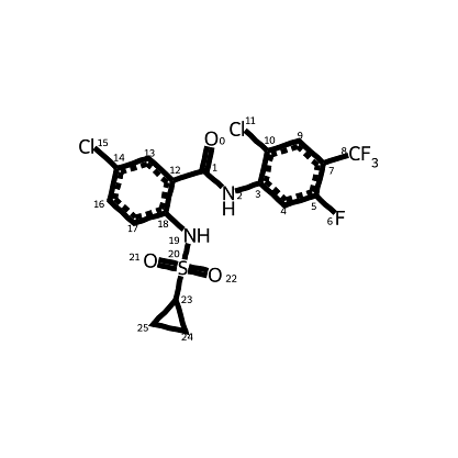 O=C(Nc1cc(F)c(C(F)(F)F)cc1Cl)c1cc(Cl)ccc1NS(=O)(=O)C1CC1